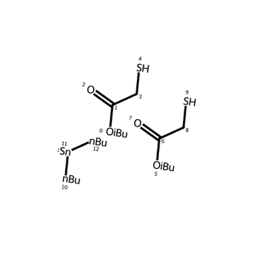 CC(C)COC(=O)CS.CC(C)COC(=O)CS.CCC[CH2][Sn][CH2]CCC